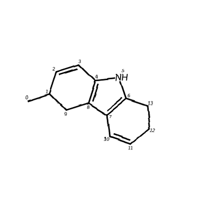 CC1C=Cc2[nH]c3c(c2C1)C=CCC3